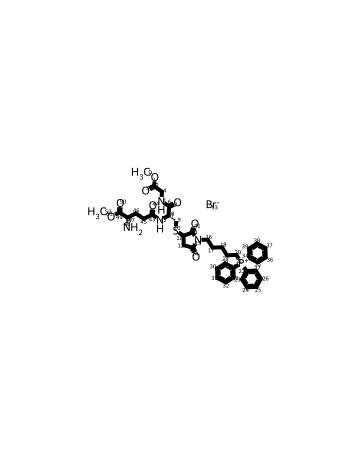 COC(=O)CNC(=O)[C@H](CSC1CC(=O)N(CCCCC[P+](c2ccccc2)(c2ccccc2)c2ccccc2)C1=O)NC(=O)CC[C@H](N)C(=O)OC.[Br-]